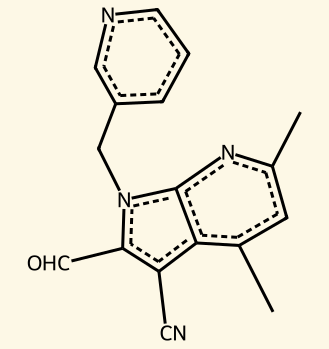 Cc1cc(C)c2c(C#N)c(C=O)n(Cc3cccnc3)c2n1